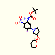 CC(C)(C)OC(=O)Nc1cc(N2CCC(O[C@@H]3CCCCO3)C2)c(I)cc1[N+](=O)[O-]